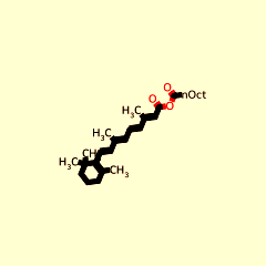 CCCCCCCCC(=O)OC(=O)/C=C(C)/C=C/C=C(C)/C=C/C1=C(C)CCCC1(C)C